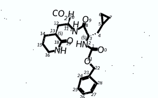 O=C(N[C@@H](CC1CC1)C(=O)N[C@@H](C[C@@H]1CCCNC1=O)C(=O)O)OCc1ccccc1